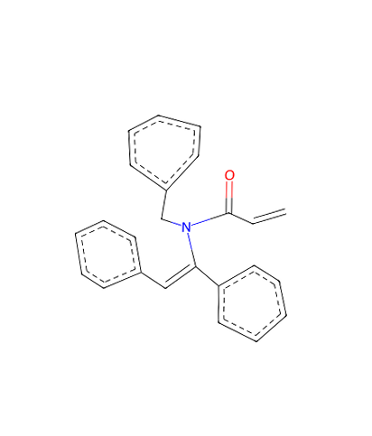 C=CC(=O)N(Cc1ccccc1)/C(=C\c1ccccc1)c1ccccc1